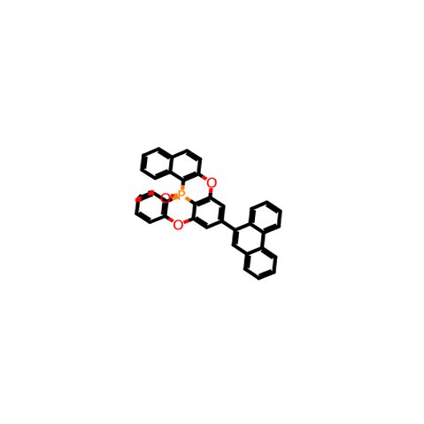 O=P12c3c(cc(-c4cc5ccccc5c5ccccc45)cc3Oc3ccc4ccccc4c31)Oc1ccc3ccccc3c12